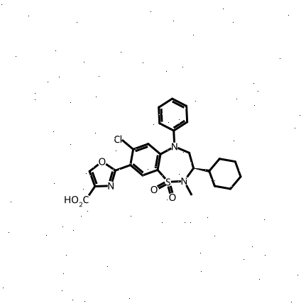 CN1[C@H](C2CCCCC2)CN(c2ccccc2)c2cc(Cl)c(-c3nc(C(=O)O)co3)cc2S1(=O)=O